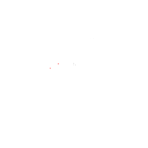 c1ccc(-c2ccc3oc4ccccc4c3c2N(c2ccc(-c3cccc4ccccc34)cc2)c2ccc(-c3cccc4ccccc34)cc2)cc1